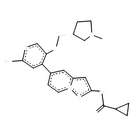 CN1CC[C@@H](COc2cnc(C#N)cc2-c2ccn3nc(NC(=O)C4CC4)cc3c2)C1